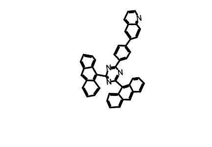 c1cnc2ccc(-c3ccc(-c4nc(-c5c6ccccc6cc6ccccc56)nc(-c5c6ccccc6cc6ccccc56)n4)cc3)cc2c1